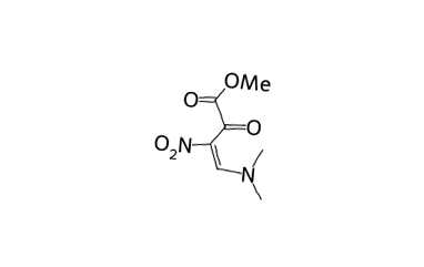 COC(=O)C(=O)/C(=C\N(C)C)[N+](=O)[O-]